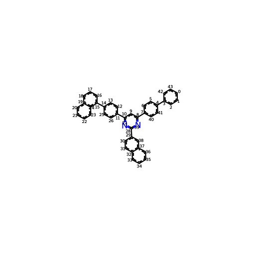 c1ccc(-c2ccc(-c3cc(-c4ccc(-c5cccc6ccccc56)cc4)nc(-c4ccc5ccccc5c4)n3)cc2)cc1